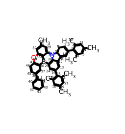 Cc1cc(C)c(C2=CCC3C(=C2)c2cc(-c4c(C)cc(C)cc4C)cc4c2N3c2cc(C)cc3c2B4c2cc(-c4ccccc4)ccc2O3)c(C)c1